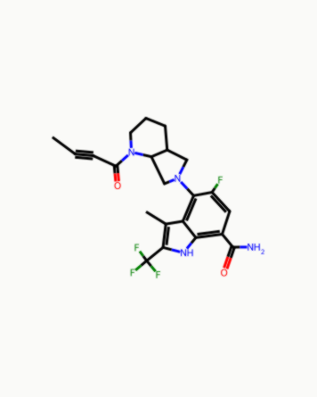 CC#CC(=O)N1CCCC2CN(c3c(F)cc(C(N)=O)c4[nH]c(C(F)(F)F)c(C)c34)CC21